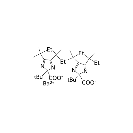 CCC(C)(C)C1=NC(C(=O)[O-])(C(C)(C)C)N=C1C(C)(C)CC.CCC(C)(C)C1=NC(C(=O)[O-])(C(C)(C)C)N=C1C(C)(C)CC.[Ba+2]